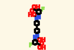 O=C(O)c1cc(F)cc(N=Nc2ccc(-c3ccc(N=Nc4cc(F)cc(C(=O)O)c4O)cc3)cc2)c1O